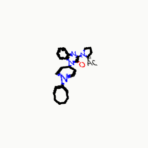 CC(=O)[C@@H]1CCCN1c1nc2ccccc2n(C2CCN(C3CCCCCCC3)CC2)c1=O